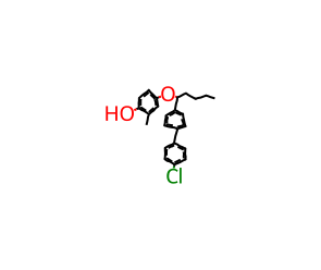 CCCCC(Oc1ccc(O)c(C)c1)c1ccc(-c2ccc(Cl)cc2)cc1